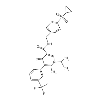 Cc1c(-c2cccc(C(F)(F)F)c2)c(=O)c(C(=O)NCc2ccc(S(=O)(=O)C3CC3)cc2)cn1C(C)C